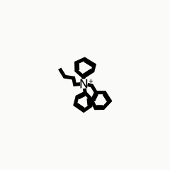 CCCC[N+](Cc1ccccc1)(c1ccccc1)c1ccccc1